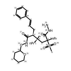 CCCC(C[C@](C)(CCC)[C@H](C/C=C/c1ccccc1)C(=O)NOC1CCCCO1)(C(=O)NN)S(C)(=O)=O